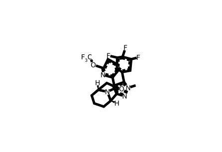 Cn1nc2c(c1-c1cc(F)c(F)c(F)c1)C[C@H]1CCC[C@@H]2N1C(=O)c1cccc(OC(F)(F)F)n1